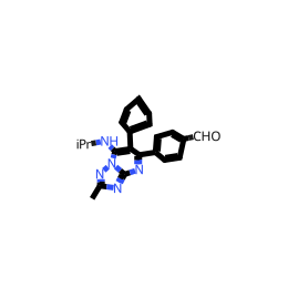 Cc1nc2nc(-c3ccc(C=O)cc3)c(-c3ccccc3)c(NC(C)C)n2n1